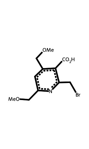 COCc1cc(COC)c(C(=O)O)c(CBr)n1